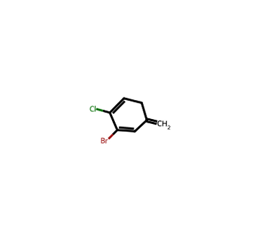 C=C1C=C(Br)C(Cl)=CC1